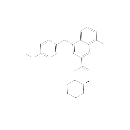 COc1ccc(Cc2cc(C(=O)N[C@H]3CCCC[C@@H]3O)nc3c(F)cccc23)cn1